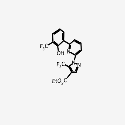 CCOC(=O)c1cnn(-c2cccc(-c3cccc(C(F)(F)F)c3O)n2)c1C(F)(F)F